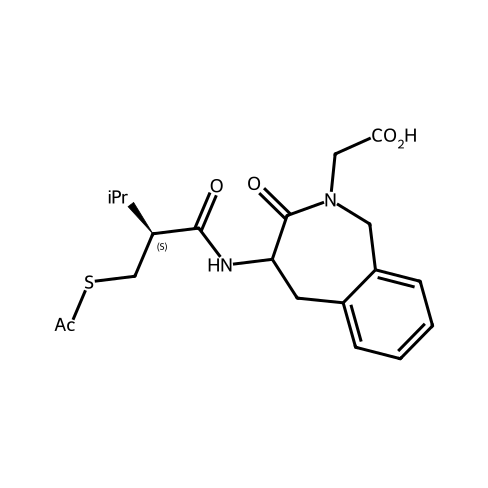 CC(=O)SC[C@H](C(=O)NC1Cc2ccccc2CN(CC(=O)O)C1=O)C(C)C